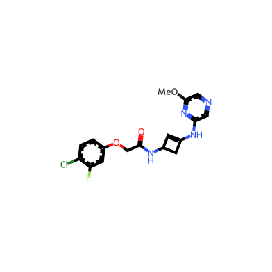 COc1cncc(NC2=CC(NC(=O)COc3ccc(Cl)c(F)c3)C2)n1